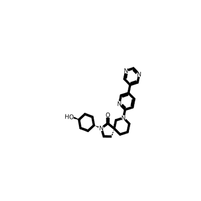 O=C1N([C@H]2CC[C@H](O)CC2)CC[C@]12CCCN(c1ccc(-c3cncnc3)cn1)C2